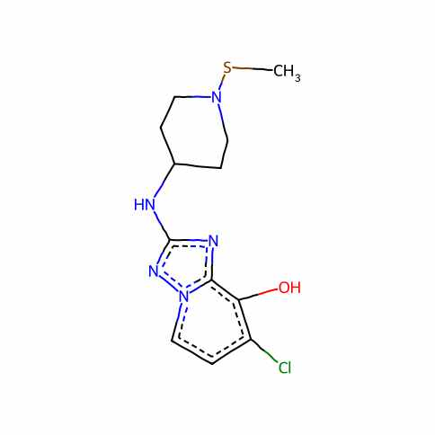 CSN1CCC(Nc2nc3c(O)c(Cl)ccn3n2)CC1